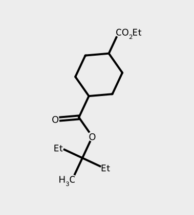 CCOC(=O)C1CCC(C(=O)OC(C)(CC)CC)CC1